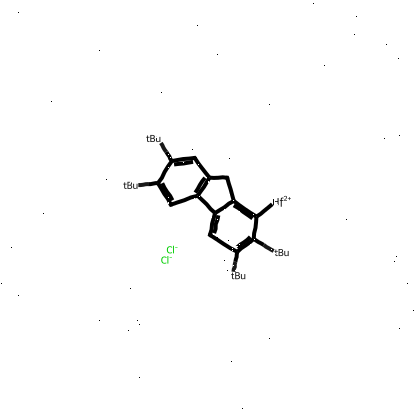 CC(C)(C)c1cc2c(cc1C(C)(C)C)-c1cc(C(C)(C)C)c(C(C)(C)C)[c]([Hf+2])c1C2.[Cl-].[Cl-]